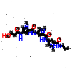 [CH2]CCNC(=O)c1cc(NC(=O)c2cc(NC(=O)c3cc(NC(=O)CCO)cn3C)cn2C)cn1C